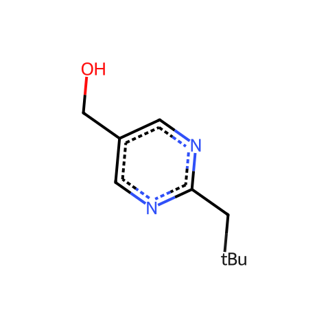 CC(C)(C)Cc1ncc(CO)cn1